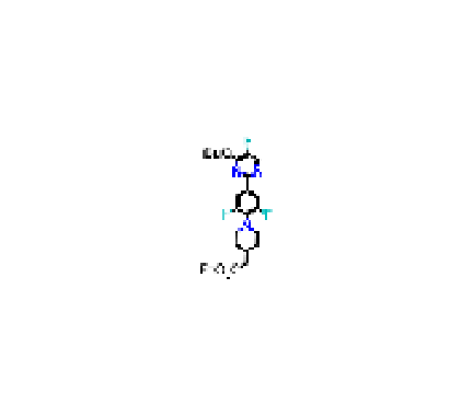 CCOC(=O)CC1CCN(c2c(F)cc(-c3ncc(F)c(OCC(C)C)n3)cc2F)CC1